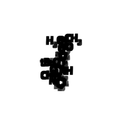 CN(C)C(=O)Oc1ccc(C[C@H](Nc2nc(Cl)nc3ccccc23)C(=O)OC(C)(C)C)cc1